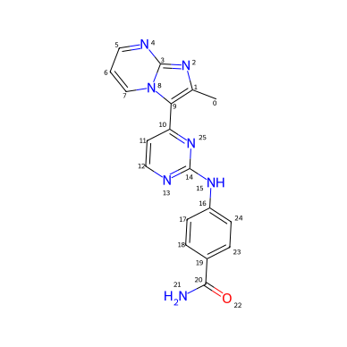 Cc1nc2ncccn2c1-c1ccnc(Nc2ccc(C(N)=O)cc2)n1